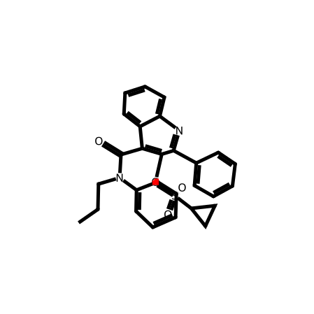 CCCN(C(=O)c1c(OS(=O)(=O)C2CC2)c(-c2ccccc2)nc2ccccc12)c1ccccc1